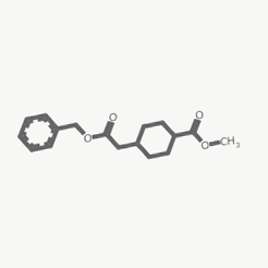 COC(=O)C1CCC(CC(=O)OCc2ccccc2)CC1